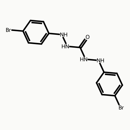 O=C(NNc1ccc(Br)cc1)NNc1ccc(Br)cc1